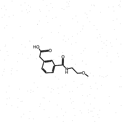 COCCNC(=O)c1cccc(CC(=O)O)c1